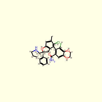 Cc1cc2c(c(-c3c(C(N)=O)cc4c(c3F)OCCO4)c1Cl)C[C@](c1ccccc1)([C@@H]1CCCN1)O2